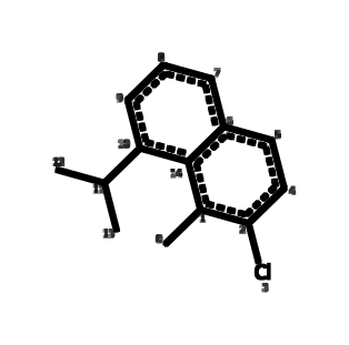 Cc1c(Cl)ccc2cccc(C(C)C)c12